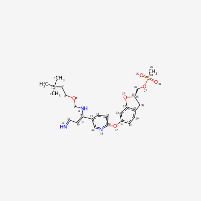 C[Si](C)(C)CCOCN/C(=C\C=N)c1ccc(Oc2ccc3c(c2)O[C@@H](COS(C)(=O)=O)C3)nc1